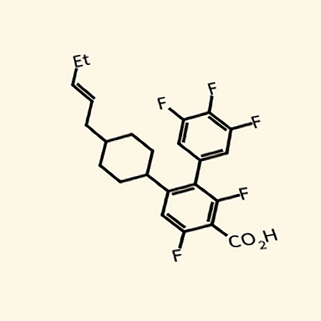 CCC=CCC1CCC(c2cc(F)c(C(=O)O)c(F)c2-c2cc(F)c(F)c(F)c2)CC1